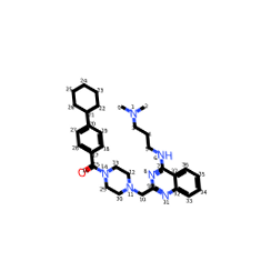 CN(C)CCCNc1nc(CN2CCN(C(=O)c3ccc(C4CCCCC4)cc3)CC2)nc2ccccc12